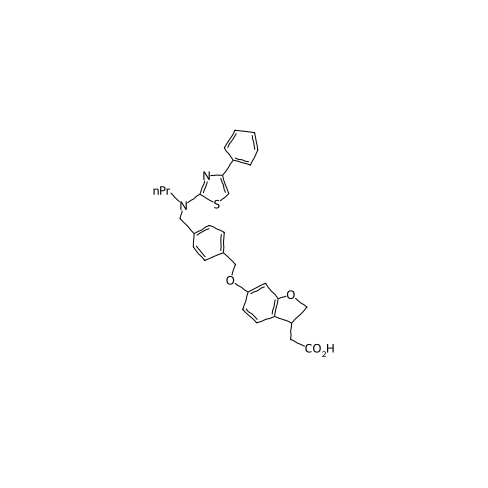 CCCN(Cc1ccc(COc2ccc3c(c2)OCC3CC(=O)O)cc1)c1nc(-c2ccccc2)cs1